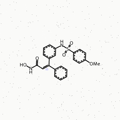 COc1ccc(S(=O)(=O)Nc2cccc(/C(=C\C(=O)NO)c3ccccc3)c2)cc1